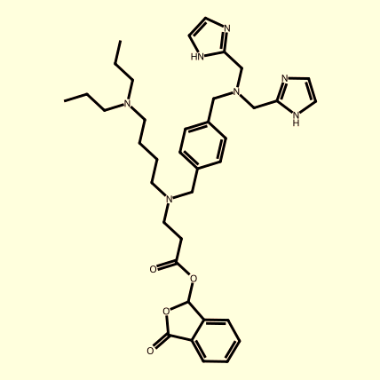 CCCN(CCC)CCCCN(CCC(=O)OC1OC(=O)c2ccccc21)Cc1ccc(CN(Cc2ncc[nH]2)Cc2ncc[nH]2)cc1